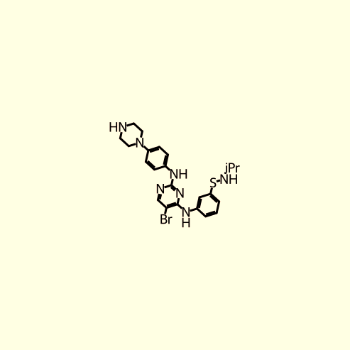 CC(C)NSc1cccc(Nc2nc(Nc3ccc(N4CCNCC4)cc3)ncc2Br)c1